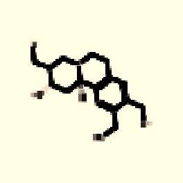 CC(C)C[C@H]1CN2CCc3cc(CO)c(CO)cc3[C@H]2C[C@@H]1O